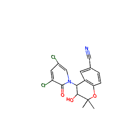 CC1(C)Oc2ccc(C#N)cc2C(n2cc(Cl)cc(Cl)c2=O)C1O